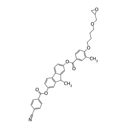 Cc1cc(C(=O)Oc2ccc3c(c2)C(C)c2cc(OC(=O)c4ccc(C#N)cc4)ccc2-3)ccc1OCCCCOCC1CO1